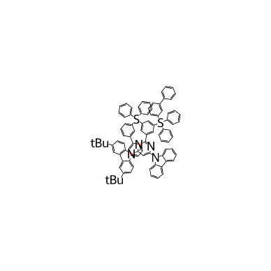 CC(C)(C)c1ccc2c(c1)c1cc(C(C)(C)C)ccc1n2-c1cc(-n2c3ccccc3c3ccccc32)nc(-c2cc(S(c3ccccc3)(c3ccccc3)c3cccc(-c4ccccc4)c3)cc(S(c3ccccc3)(c3ccccc3)c3cccc(-c4ccccc4)c3)c2)n1